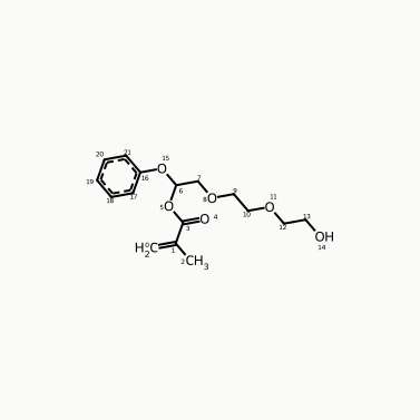 C=C(C)C(=O)OC(COCCOCCO)Oc1ccccc1